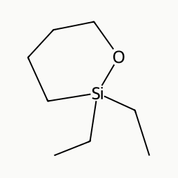 CC[Si]1(CC)CCCCO1